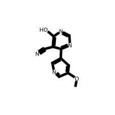 COc1cncc(-c2ncnc(O)c2C#N)c1